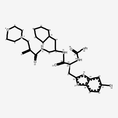 C=C(CN1CCOCC1)C(=O)NCC(CC1CCCCC1)NC(=O)[C@H](Cc1nc2ccc(CC)cc2s1)NC(=O)CCC